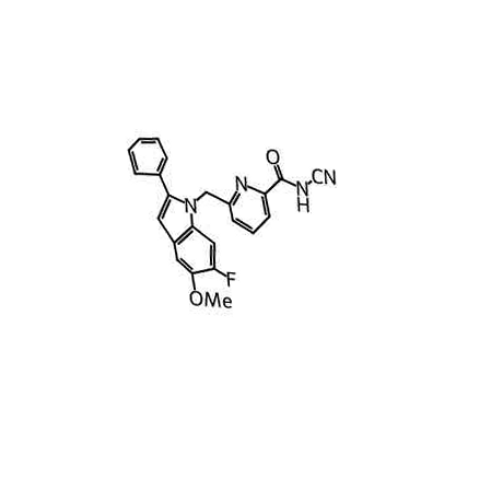 COc1cc2cc(-c3ccccc3)n(Cc3cccc(C(=O)NC#N)n3)c2cc1F